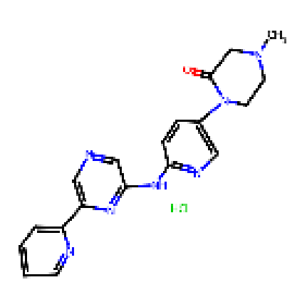 CN1CCN(c2ccc(Nc3cncc(-c4ccccn4)n3)nc2)C(=O)C1.Cl